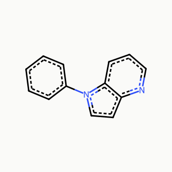 c1ccc(-n2ccc3ncccc32)cc1